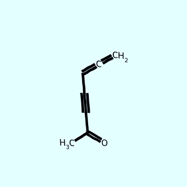 C=C=CC#CC(C)=O